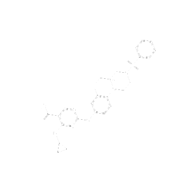 NC(=O)c1cnc(Nc2ccc3c(c2)OC[C@H]2CN(S(=O)(=O)c4ccccc4)CCN32)nc1NC1CC1